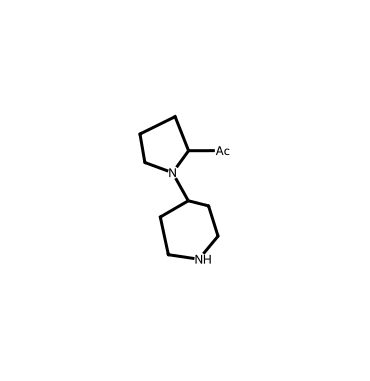 CC(=O)C1CCCN1C1CCNCC1